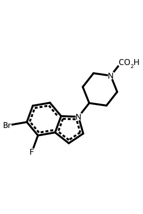 O=C(O)N1CCC(n2ccc3c(F)c(Br)ccc32)CC1